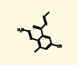 CN=NC(=O)c1cc(C#N)cc(C)c1N=NN